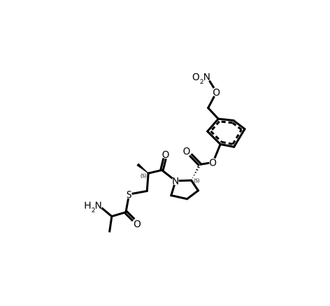 CC(N)C(=O)SC[C@@H](C)C(=O)N1CCC[C@H]1C(=O)Oc1cccc(CO[N+](=O)[O-])c1